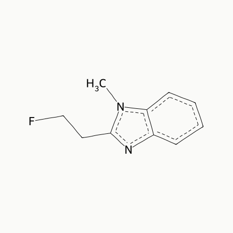 Cn1c(CCF)nc2ccccc21